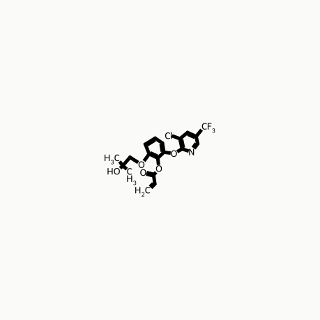 C=CC(=O)Oc1c(OCC(C)(C)O)cccc1Oc1ncc(C(F)(F)F)cc1Cl